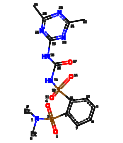 CCN(CC)S(=O)(=O)c1ccccc1S(=O)(=O)NC(=O)Nc1nc(C)nc(C)n1